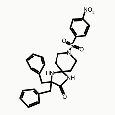 O=C1NC2(CCN(S(=O)(=O)c3ccc([N+](=O)[O-])cc3)CC2)NC1(Cc1ccccc1)Cc1ccccc1